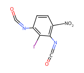 O=C=Nc1ccc([N+](=O)[O-])c(N=C=O)c1I